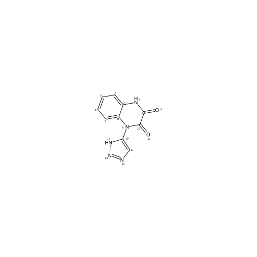 O=c1[nH]c2ccccc2n(-c2cnn[nH]2)c1=O